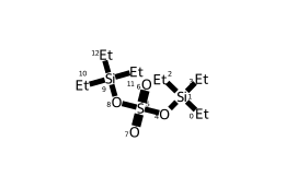 CC[Si](CC)(CC)OS(=O)(=O)O[Si](CC)(CC)CC